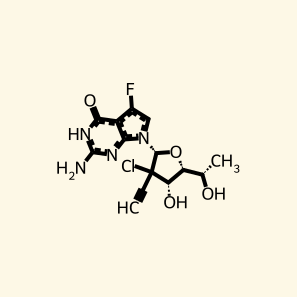 C#CC1(Cl)[C@@H](O)[C@@H]([C@H](C)O)O[C@H]1n1cc(F)c2c(=O)[nH]c(N)nc21